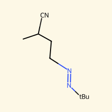 CC(C#N)CCN=NC(C)(C)C